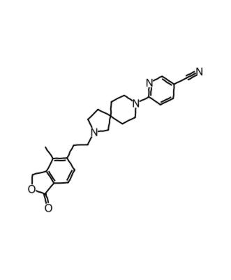 Cc1c(CCN2CCC3(CCN(c4ccc(C#N)cn4)CC3)C2)ccc2c1COC2=O